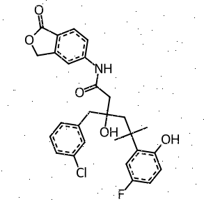 CC(C)(CC(O)(CC(=O)Nc1ccc2c(c1)COC2=O)Cc1cccc(Cl)c1)c1cc(F)ccc1O